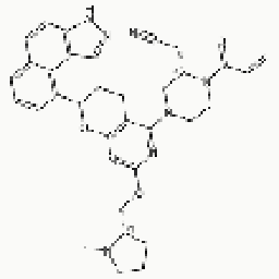 C=CC(=O)N1CCN(c2nc(OC[C@@H]3CCCN3C)nc3c2CCC(c2cccc4ccc5[nH]ncc5c24)O3)C[C@@H]1CC#N